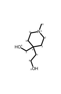 CN1CCC(CO)(CCO)CC1